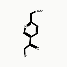 COCc1ccc(C(=O)CBr)cn1